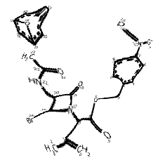 C=C(C)C(C(=O)OCc1ccc([N+](=O)[O-])cc1)N1C(=O)C(NC(C)=O)C1Br.c1cc2cc(c1)O2